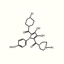 COc1ccc(-n2c(C(=O)N3CCN(C(C)=O)CC3)c(O)c(O)c2C(=O)N2CCN(C(C)=O)CC2)cc1